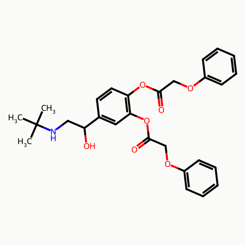 CC(C)(C)NCC(O)c1ccc(OC(=O)COc2ccccc2)c(OC(=O)COc2ccccc2)c1